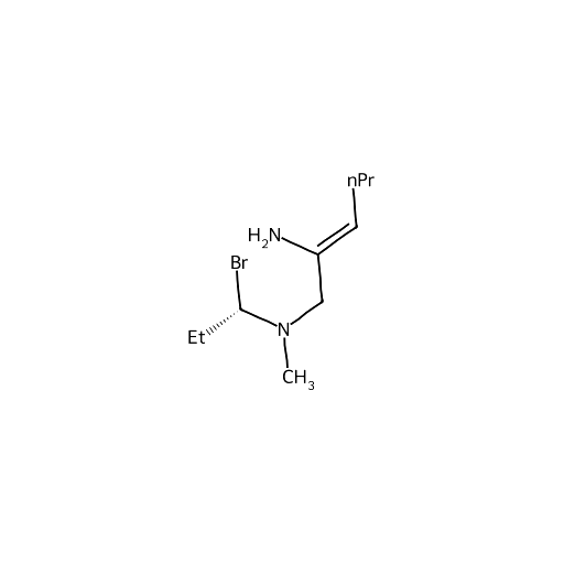 CCCC=C(N)CN(C)[C@@H](Br)CC